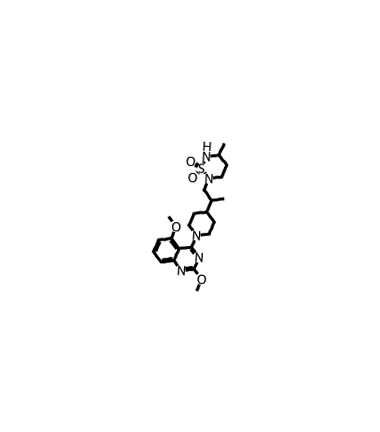 COc1nc(N2CCC(C(C)CN3CCC(C)NS3(=O)=O)CC2)c2c(OC)cccc2n1